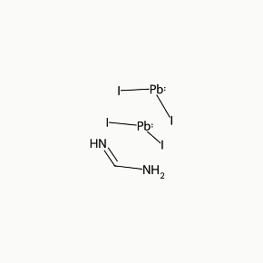 N=CN.[I][Pb][I].[I][Pb][I]